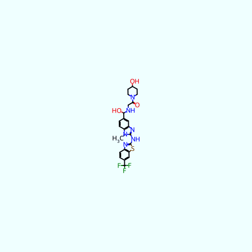 Cn1c(Nc2nc3ccc(C(F)(F)F)cc3s2)nc2cc(C(O)NCC(=O)N3CCC(O)CC3)ccc21